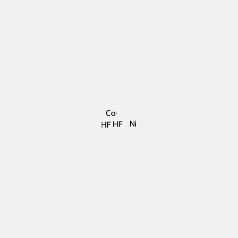 F.F.[Co].[Ni]